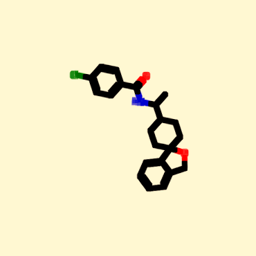 CC(NC(=O)c1ccc(Cl)cc1)C1CCC2(CC1)OCc1ccccc12